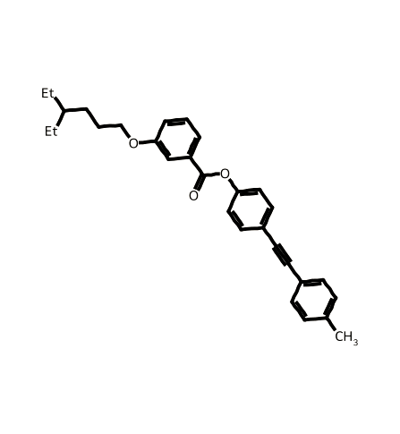 CCC(CC)CCCOc1cccc(C(=O)Oc2ccc(C#Cc3ccc(C)cc3)cc2)c1